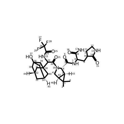 CC1(C)[C@@H]2[C@@H](C(=O)NC(CC3CCNC3=O)C(N)=O)N(C(=O)C(NC(=O)C(F)(F)F)C34C[C@@H]5C[C@@H](CC(O)(C5)C3)C4)C[C@@H]21